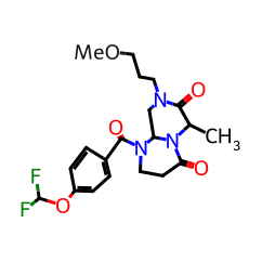 COCCCN1CC2N(C(=O)c3ccc(OC(F)F)cc3)CCC(=O)N2C(C)C1=O